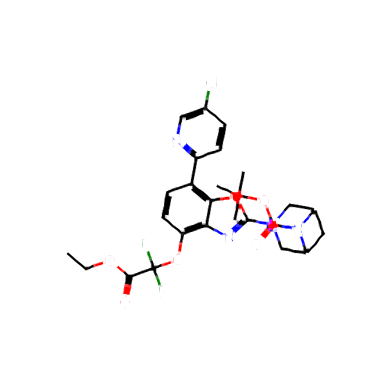 CCOC(=O)C(F)(F)Oc1ccc(-c2ccc(Cl)cn2)c2oc(N3CC4CC(C3)N4C(=O)OC(C)(C)C)nc12